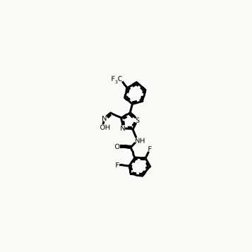 O=C(Nc1nc(/C=N\O)c(-c2cccc(C(F)(F)F)c2)s1)c1c(F)cccc1F